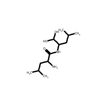 CC(C)CC(N)C(=O)NC(CC(C)C)C(O)O